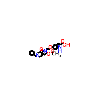 COc1cc2[nH]c(C(=O)O)cc2cc1OCCN1C(=O)CC2(CCN(Cc3ccccc3)CC2)C1=O